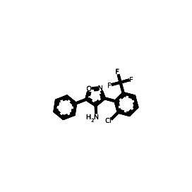 Nc1c(-c2c(Cl)cccc2C(F)(F)F)noc1-c1ccccc1